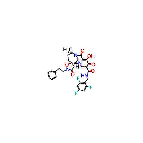 C[C@H]1CCC2(CC(=O)N(CCc3ccccc3)O2)[C@H]2CN1C(=O)c1c(O)c(=O)c(C(=O)NCc3c(F)cc(F)cc3F)cn12